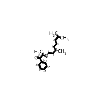 CC(C)=CCC[C@H](C)CCOC(C)C(=O)c1ccccc1